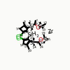 CC1=C([Si](C)(C)C(C)O[Si](C)(C)C)C([SiH2]C2=C(Cl)CC(C)=C2[Si](C)(C)C(C)O[Si](C)(C)C)=C(Cl)C1.[Zr]